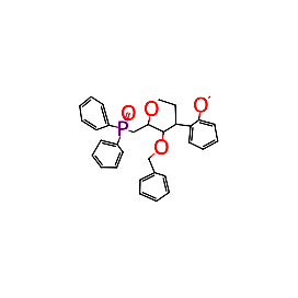 COc1ccccc1C1CCOC(CP(=O)(c2ccccc2)c2ccccc2)C1OCc1ccccc1